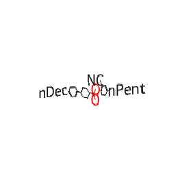 CCCCCCCCCCc1ccc(C2CCC(C(=O)Oc3ccc(CCCCC)cc3C#N)CC2)cc1